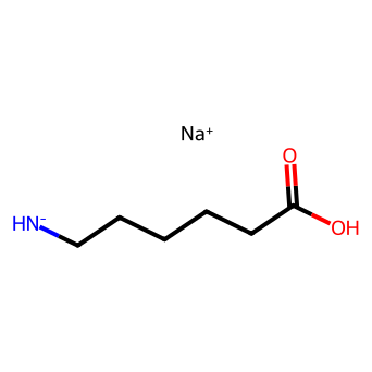 [NH-]CCCCCC(=O)O.[Na+]